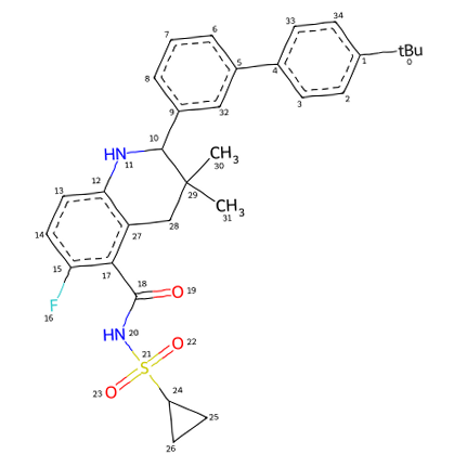 CC(C)(C)c1ccc(-c2cccc(C3Nc4ccc(F)c(C(=O)NS(=O)(=O)C5CC5)c4CC3(C)C)c2)cc1